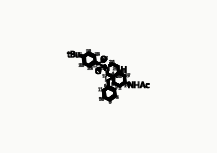 CC(=O)N[C@H]1CC[C@]2(Cc3ccccc3)CN(S(=O)(=O)c3ccc(C(C)(C)C)cc3)CC[C@H]2C1